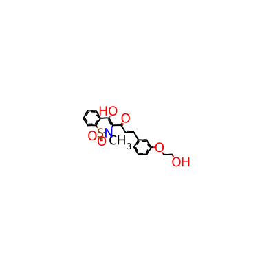 CN1C(C(=O)/C=C/c2cccc(OCCO)c2)=C(O)c2ccccc2S1(=O)=O